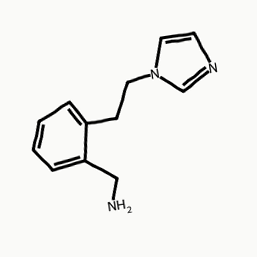 NCc1ccccc1CCn1ccnc1